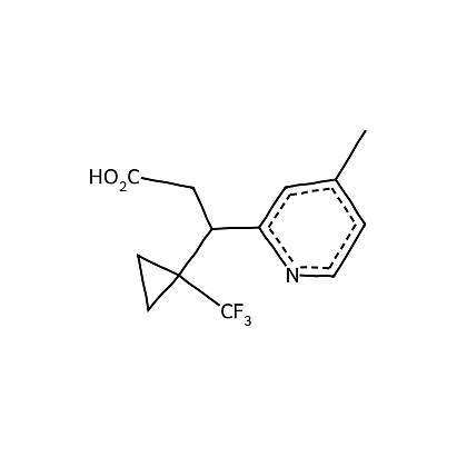 Cc1ccnc(C(CC(=O)O)C2(C(F)(F)F)CC2)c1